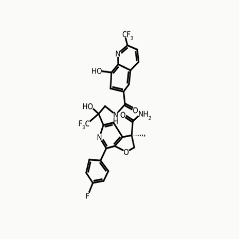 C[C@]1(C(N)=O)COc2c1cc(C(O)(CNC(=O)c1cc(O)c3nc(C(F)(F)F)ccc3c1)C(F)(F)F)nc2-c1ccc(F)cc1